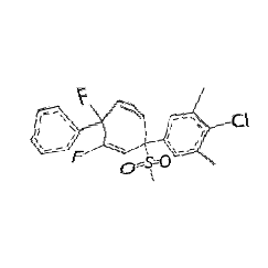 Cc1cc(C2(S(C)(=O)=O)C=CC(F)(c3ccccc3)C(F)=C2)cc(C)c1Cl